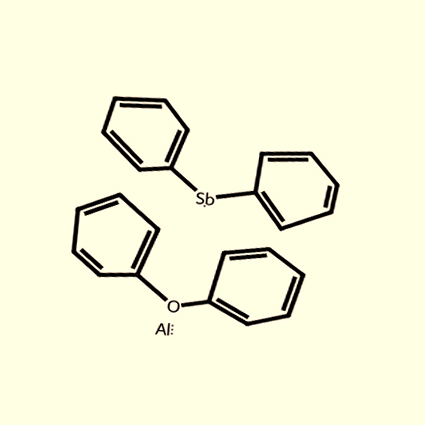 [Al].c1cc[c]([Sb][c]2ccccc2)cc1.c1ccc(Oc2ccccc2)cc1